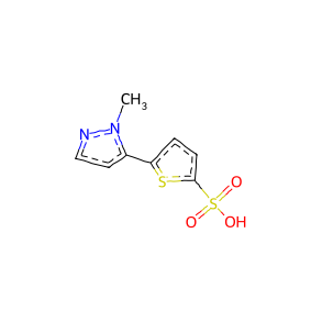 Cn1nccc1-c1ccc(S(=O)(=O)O)s1